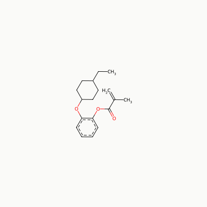 C=C(C)C(=O)Oc1ccccc1OC1CCC(CC)CC1